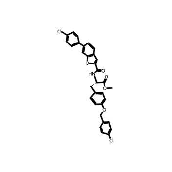 COC(=O)[C@H](Cc1ccc(OCc2ccc(Cl)cc2)cc1)NC(=O)c1cc2ccc(-c3ccc(Cl)cc3)cc2o1